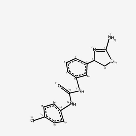 NC1=NC(c2cccc(NC(=O)Nc3ccc(Cl)cc3)c2)CO1